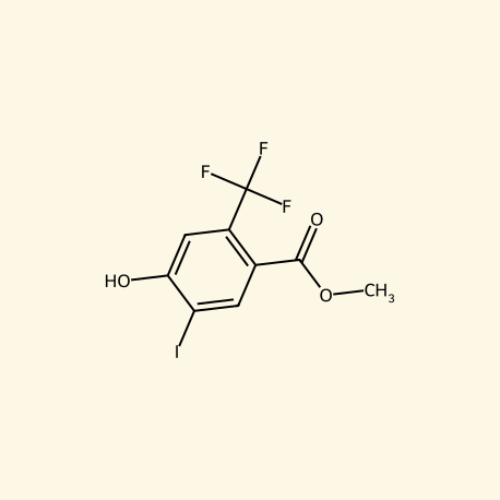 COC(=O)c1cc(I)c(O)cc1C(F)(F)F